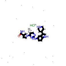 Cc1cnc(Nc2ccc3[nH]cc(C4=CCNCC4)c3c2)nc1-n1ccc(C(N)=O)c1.Cl